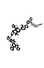 CCCCCCCC1(CCCCCCC)c2ccccc2-c2ccc(-c3ccc4c(c3)C(C)(C)c3cc(-c5cc6c(c7c5oc5ccccc57)-c5ccc(N(c7ccc8c(c7)C(C)(C)c7c9c(c%10c(oc%11ccccc%11%10)c7-8)-c7ccccc7C9(C)C)c7ccccc7C(C)(C)C)cc5C6(C)C)ccc3-4)cc21